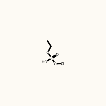 CCOP(=O)(O)OCl